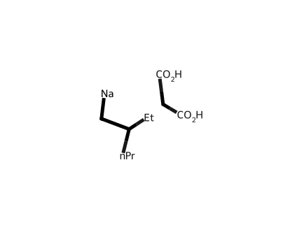 CCCC(CC)[CH2][Na].O=C(O)CC(=O)O